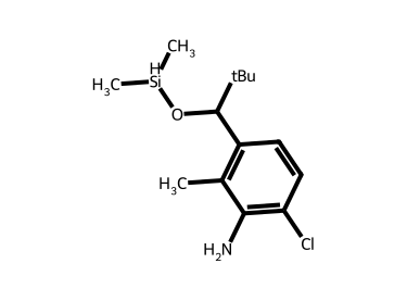 Cc1c(C(O[SiH](C)C)C(C)(C)C)ccc(Cl)c1N